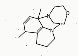 CC1C=CC(C)(N2CCOCC2)C2=C1CCCN2C